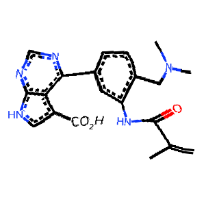 C=C(C)C(=O)Nc1cc(-c2ncnc3[nH]cc(C(=O)O)c23)ccc1CN(C)C